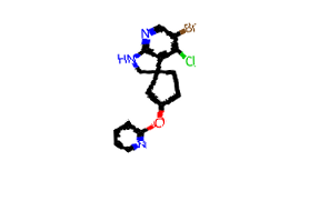 Clc1c(Br)cnc2c1C1(CCC(Oc3ccccn3)C1)CN2